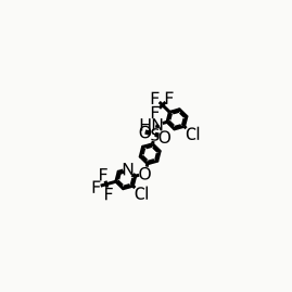 O=S(=O)(Nc1cc(Cl)ccc1C(F)(F)F)c1ccc(Oc2ncc(C(F)(F)F)cc2Cl)cc1